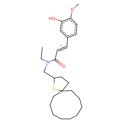 CCN(CC1CCC2(CCCCCCCCC2)S1)C(=O)/C=C/c1ccc(OC)c(O)c1